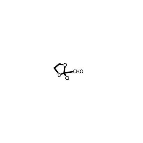 O=CC1(Cl)OCCO1